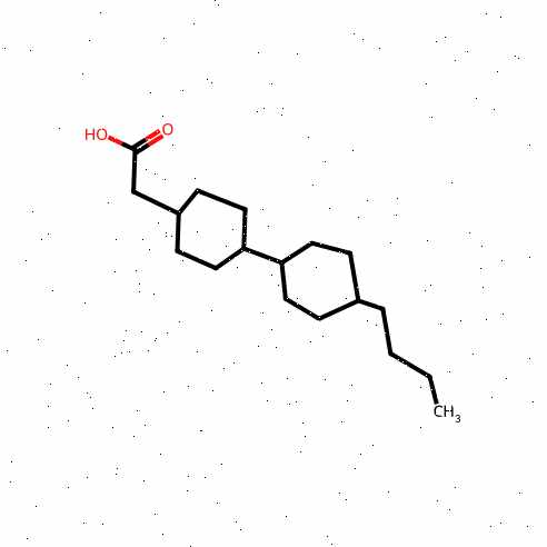 CCCCC1CCC(C2CCC(CC(=O)O)CC2)CC1